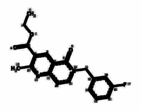 CCOC(=O)c1cc2c(=O)n(Cc3cccc(F)c3)ccc2nc1C